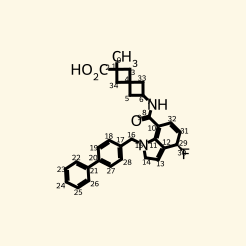 CC1(C(=O)O)CC2(CC(NC(=O)C3=C4C(=CCN4Cc4ccc(-c5ccccc5)cc4)[C@H](F)C=C3)C2)C1